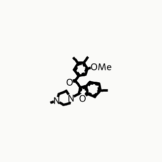 COc1cc(C(=O)c2c(N3CCN(C)CC3)oc3cc(C)ccc23)cc(C)c1C